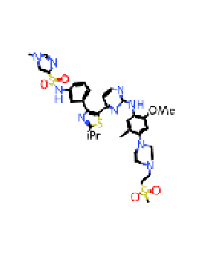 COc1cc(N2CCN(CCS(C)(=O)=O)CC2)c(C)cc1Nc1nccc(-c2sc(C(C)C)nc2-c2cccc(NS(=O)(=O)c3cn(C)cn3)c2)n1